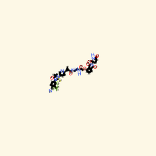 CC1(C)C(=O)N(c2ccc(C#N)c(C(F)(F)F)c2F)C(=S)N1c1ccc([C@@H]2C[C@H]2C(=O)NCCNC(=O)COc2cccc3c2C(=O)N(C2CCC(=O)NC2=O)C3=O)nc1